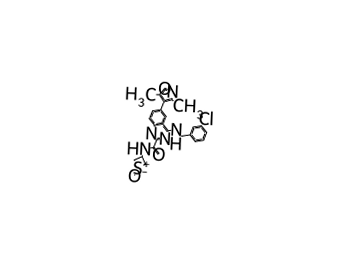 Cc1noc(C)c1-c1ccc2nc(C(=O)NC3C[S+]([O-])C3)nc(NCc3cccc(Cl)c3)c2c1